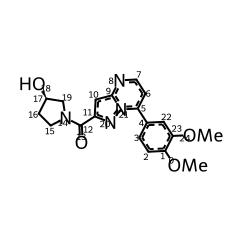 COc1ccc(-c2ccnc3cc(C(=O)N4CC[C@@H](O)C4)nn23)cc1OC